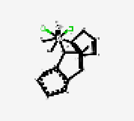 CC1=Cc2ccccc2[CH]1[Zr]([CH3])([CH3])(=[SiH2])([Cl])([Cl])[C]1=CC=CC1